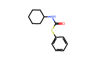 O=C(NC1CCCCC1)Sc1ccccc1